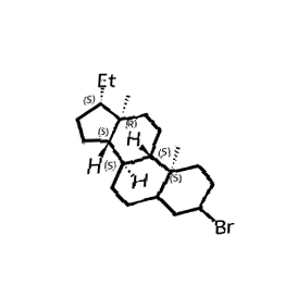 CC[C@H]1CC[C@H]2[C@@H]3CCC4CC(Br)CC[C@]4(C)[C@H]3CC[C@]12C